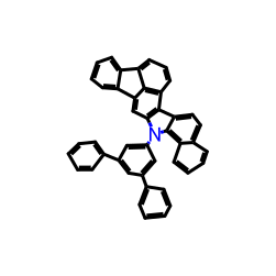 c1ccc(-c2cc(-c3ccccc3)cc(-n3c4cc5c6c(cccc6c4c4ccc6ccccc6c43)-c3ccccc3-5)c2)cc1